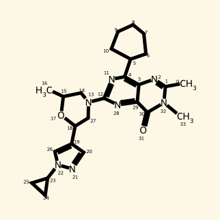 Cc1nc2c(C3CCCCC3)nc(N3CC(C)OC(c4cnn(C5CC5)c4)C3)nc2c(=O)n1C